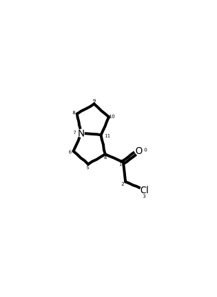 O=C(CCl)C1CCN2CCCC12